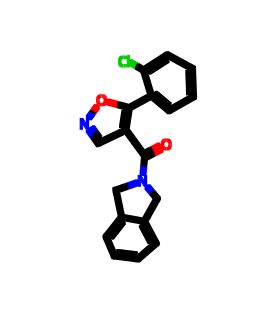 O=C(c1cnoc1-c1ccccc1Cl)N1Cc2ccccc2C1